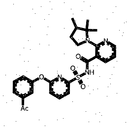 CC(=O)c1cccc(Oc2cccc(S(=O)(=O)NC(=O)c3cccnc3N3CCC(C)C3(C)C)n2)c1